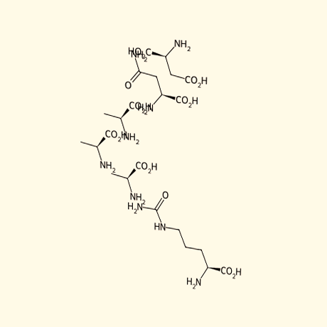 C[C@H](N)C(=O)O.C[C@H](N)C(=O)O.C[C@H](N)C(=O)O.NC(=O)C[C@H](N)C(=O)O.NC(=O)NCCC[C@H](N)C(=O)O.N[C@@H](CC(=O)O)C(=O)O